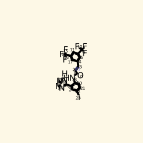 O=C(/C=C/c1cc(C(F)(F)F)cc(C(F)(F)F)c1)Nc1ccc(I)cc1-c1nnn[nH]1